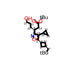 CC(C)(C)C[C@H]1C[C@@H](c2onc([C@@H](CCCO)CC(=O)OC(C)(C)C)c2C2CC2)C1